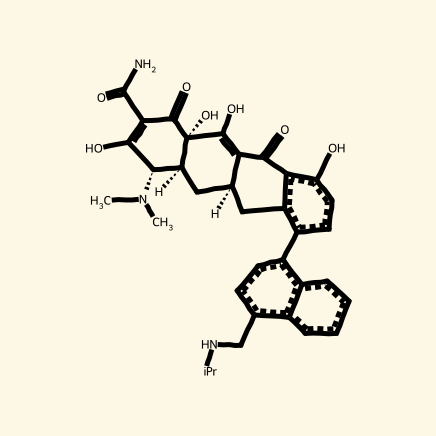 CC(C)NCc1ccc(-c2ccc(O)c3c2C[C@H]2C[C@H]4[C@H](N(C)C)C(O)=C(C(N)=O)C(=O)[C@@]4(O)C(O)=C2C3=O)c2ccccc12